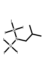 CC(C)CN([Si](I)(I)I)[Si](I)(I)I